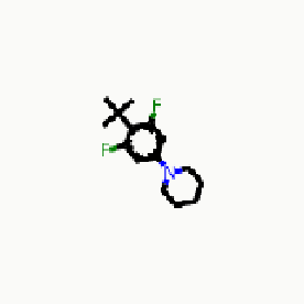 CC(C)(C)c1c(F)cc(N2CCCCC2)cc1F